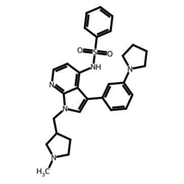 CN1CCC(Cn2cc(-c3cccc(N4CCCC4)c3)c3c(NS(=O)(=O)c4ccccc4)ccnc32)C1